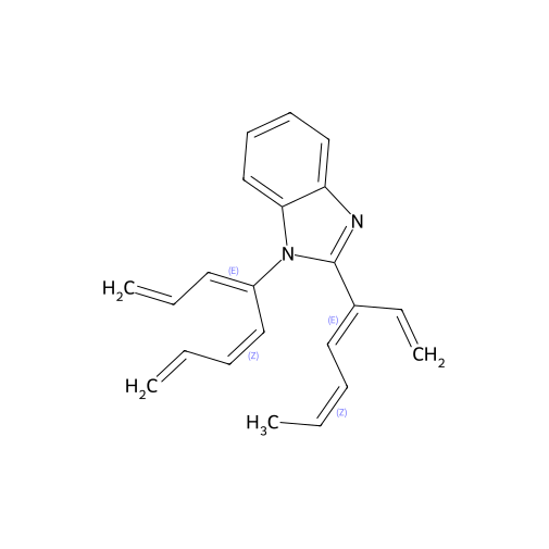 C=C/C=C\C(=C/C=C)n1c(/C(C=C)=C/C=C\C)nc2ccccc21